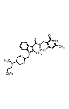 COCCN(C)C1COC(Cn2c(C)c(C(=O)NCc3c(SC)cc(C)[nH]c3=O)c3ccccc32)OC1